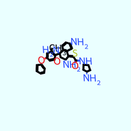 Cc1cc(Oc2ccccc2)ccc1C1(N)C(=O)C(N)c2c(C(=O)N[C@@H]3CC[C@@H](N)C3)sc3c(N)ccc1c23